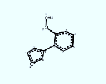 CCCCOc1ccccc1-c1[c]occ1